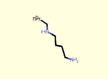 CCCCNCCCCN